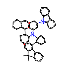 CC1(C)c2ccccc2-c2c(-c3ccccc3N(c3cccc(-n4c5ccccc5c5ccccc54)c3)c3ccccc3-c3cccc4ccccc34)cccc21